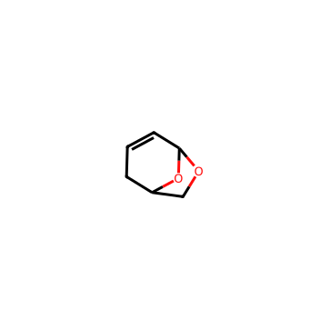 C1=CC2OCC(C1)O2